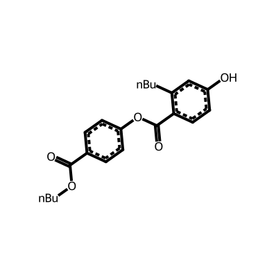 CCCCOC(=O)c1ccc(OC(=O)c2ccc(O)cc2CCCC)cc1